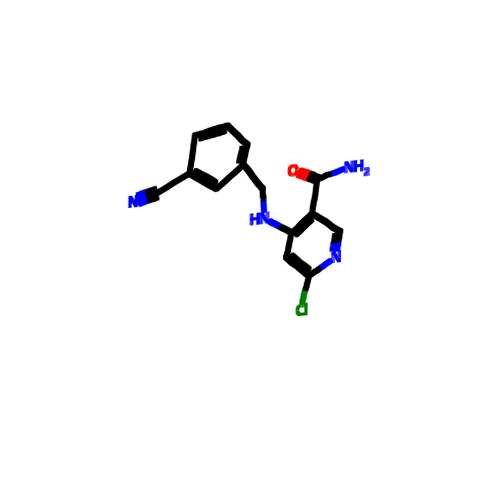 N#Cc1cccc(CNc2cc(Cl)ncc2C(N)=O)c1